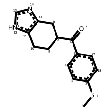 CSc1ccc(C(=O)C2CCc3[nH]cnc3C2)cc1